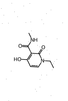 CCn1ccc(O)c(C(=O)NC)c1=O